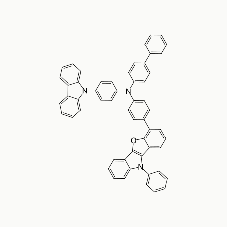 c1ccc(-c2ccc(N(c3ccc(-c4cccc5c4oc4c6ccccc6n(-c6ccccc6)c54)cc3)c3ccc(-n4c5ccccc5c5ccccc54)cc3)cc2)cc1